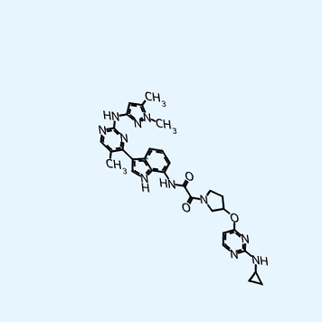 Cc1cnc(Nc2cc(C)n(C)n2)nc1-c1c[nH]c2c(NC(=O)C(=O)N3CCC(Oc4ccnc(NC5CC5)n4)C3)cccc12